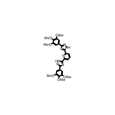 COc1cc(-c2n[nH]c(-c3cccc(-c4nc(-c5cc(OC)c(OC)c(OC)c5)n[nH]4)n3)n2)cc(OC)c1OC